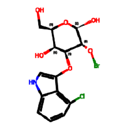 OC[C@H]1O[C@H](O)[C@H](OBr)[C@@H](Oc2c[nH]c3cccc(Cl)c23)[C@H]1O